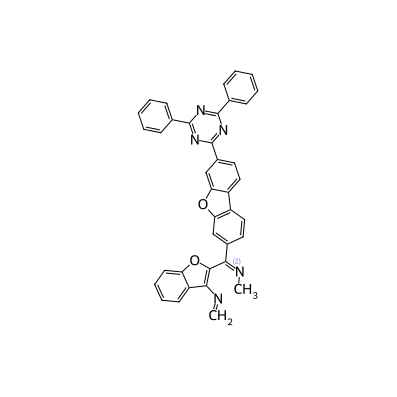 C=Nc1c(/C(=N\C)c2ccc3c(c2)oc2cc(-c4nc(-c5ccccc5)nc(-c5ccccc5)n4)ccc23)oc2ccccc12